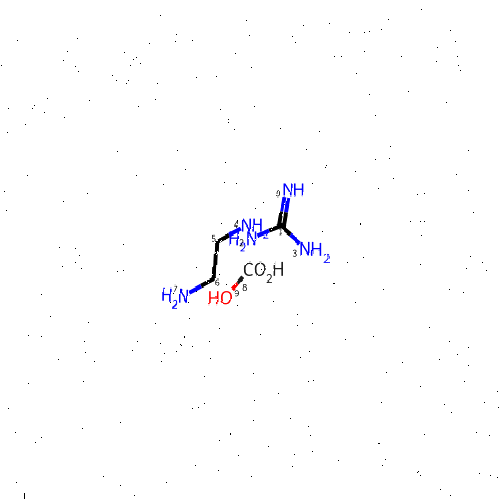 N=C(N)N.NCCN.O=C(O)O